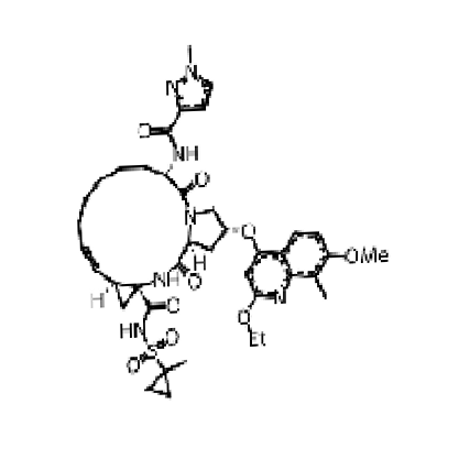 CCOc1cc(O[C@@H]2C[C@H]3C(=O)N[C@]4(C(=O)NS(=O)(=O)C5(C)CC5)C[C@H]4C=CCCCCC[C@H](NC(=O)c4ccn(C)n4)C(=O)N3C2)c2ccc(OC)c(C)c2n1